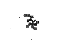 CCO[Si](OCC)(OCC)C(C)C(=O)N[C]=O